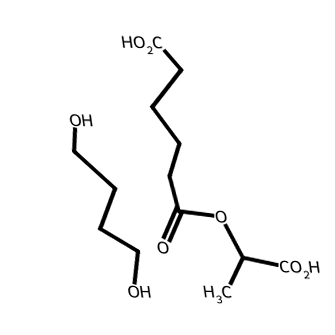 CC(OC(=O)CCCCC(=O)O)C(=O)O.OCCCCO